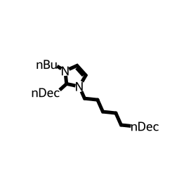 CCCCCCCCCCCCCCCN1C=CN(CCCC)C1CCCCCCCCCC